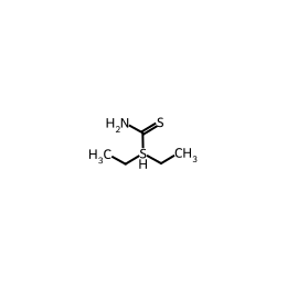 CC[SH](CC)C(N)=S